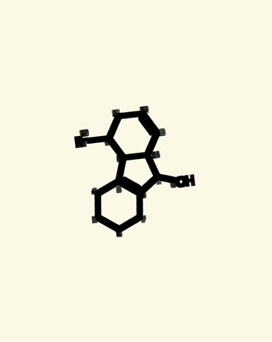 OC1C2=C(CCCC2)C2C(Br)CC=CC12